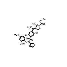 COc1ccc(CN(c2cscn2)S(=O)(=O)c2cc(Cl)c(N(C)C3CCN(C(=O)OC(C)(C)C)[C@@H]3C)cc2F)c(OC)c1